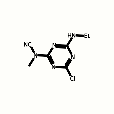 CCNc1nc(Cl)nc(N(C)C#N)n1